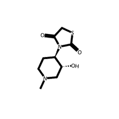 CN1CC[C@@H](N2C(=O)CSC2=O)[C@H](O)C1